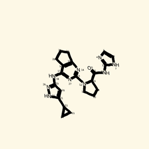 O=C(Nc1ncc[nH]1)C1CCCN1c1nc2c(c(Nc3cc(C4CC4)[nH]n3)n1)CCC2